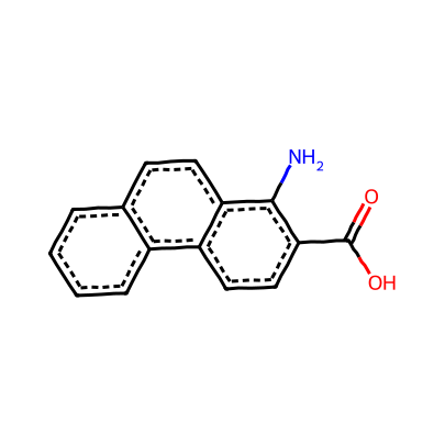 Nc1c(C(=O)O)ccc2c1ccc1ccccc12